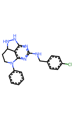 Clc1ccc(CNc2nc3c4c(n2)N(c2ccccc2)CCC4NN3)cc1